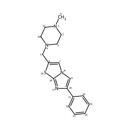 CN1CCN(Cc2cn3cc(-c4ccccc4)nc3s2)CC1